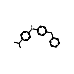 CC(C)c1ccc(Nc2ccc(Cc3ccccc3)cc2)cc1